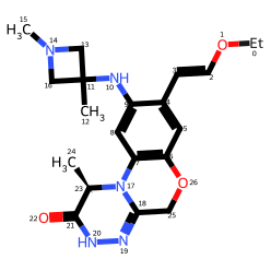 CCOC=Cc1cc2c(cc1NC1(C)CN(C)C1)N1C(=NNC(=O)[C@H]1C)CO2